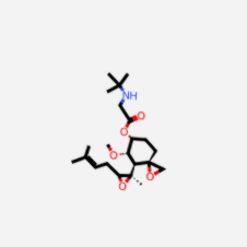 CO[C@@H]1[C@H](OC(=O)CNC(C)(C)C)CC[C@]2(CO2)[C@H]1[C@@]1(C)OC1CC=C(C)C